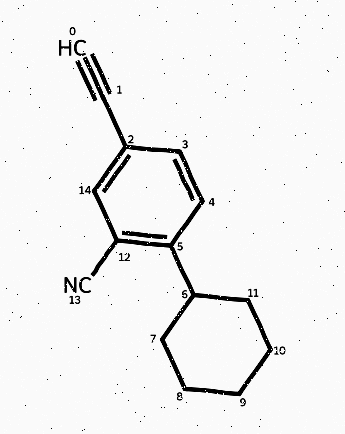 C#Cc1ccc(C2CCCCC2)c(C#N)c1